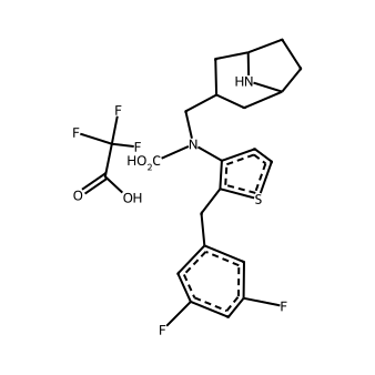 O=C(O)C(F)(F)F.O=C(O)N(CC1CC2CCC(C1)N2)c1ccsc1Cc1cc(F)cc(F)c1